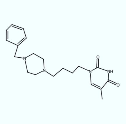 Cc1cn(CCCCN2CCN(Cc3ccccc3)CC2)c(=O)[nH]c1=O